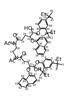 CCC(C)(C)c1ccc(OC(O)C(CCC(=O)N(CCN(C(C)=O)C(=O)CCC(Oc2cccc3ccccc23)C(O)Oc2ccc(C(C)(C)CC)cc2C(C)(C)CC)C(C)=O)Oc2cccc3ccccc23)c(C(C)(C)CC)c1